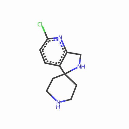 Clc1ccc2c(n1)CNC21CCNCC1